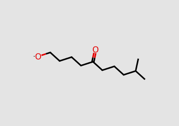 CC(C)CCCC(=O)CCCC[O]